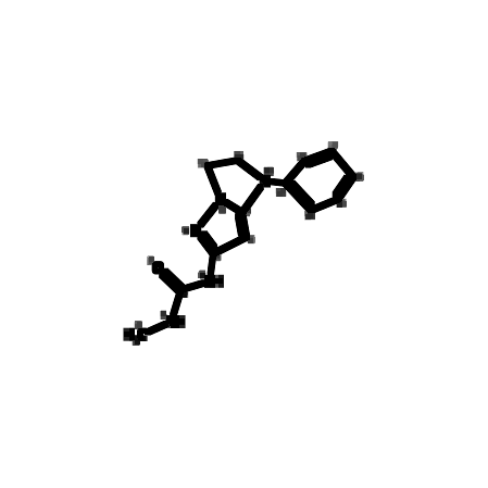 CNC(=O)Nc1cc2n(n1)CCN2c1ccccc1